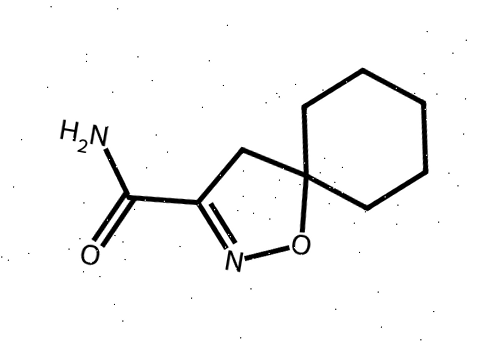 NC(=O)C1=NOC2(CCCCC2)C1